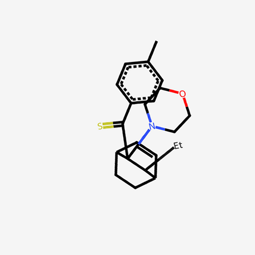 CCC1C2C=CC(CC2)C1(C(=S)c1ccc(C)cc1)N1CCOCC1